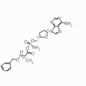 C[C@H](NOCc1ccccc1)C(=O)OP(N)(=O)OC[C@@H]1CC[C@H](n2cnc3c(N)ncnc32)O1